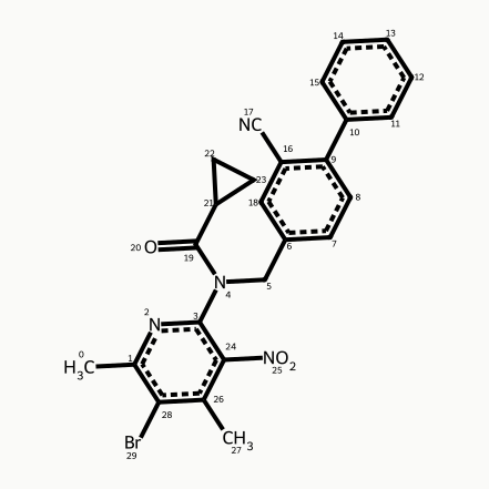 Cc1nc(N(Cc2ccc(-c3ccccc3)c(C#N)c2)C(=O)C2CC2)c([N+](=O)[O-])c(C)c1Br